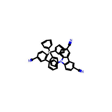 N#Cc1ccc([Si](c2ccccc2)(c2ccccc2)c2ccccc2)c(-c2cccc(-n3c4ccc(C#N)cc4c4cc(C#N)ccc43)c2)c1